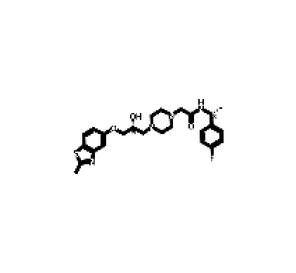 Cc1nc2cc(OC[C@H](O)CN3CCN(CC(=O)N[C@H](C)c4ccc(F)cc4)CC3)ccc2s1